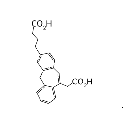 O=C(O)CCCc1ccc2c(c1)Cc1ccccc1C(CC(=O)O)=C2